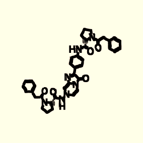 O=C(Nc1ccc(-c2nc3cn(NC(=O)[C@@H]4CCCN4C(=O)Cc4ccccc4)ccn-3c2=O)cc1)[C@@H]1CCCN1C(=O)Cc1ccccc1